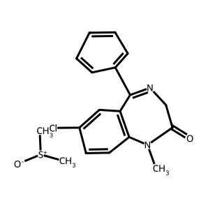 CN1C(=O)CN=C(c2ccccc2)c2cc(Cl)ccc21.C[S+](C)[O-]